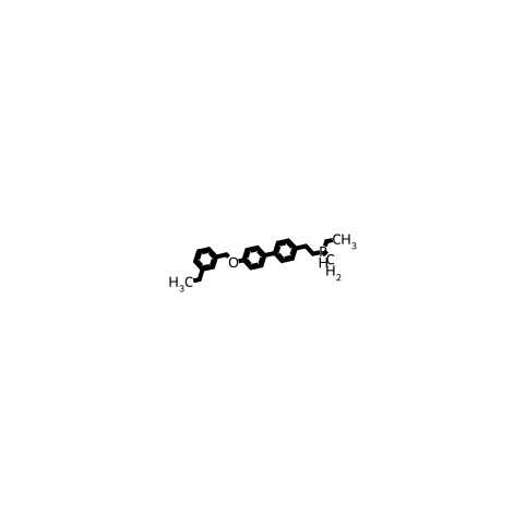 C=[PH](CC)CCc1ccc(-c2ccc(OCc3cccc(CC)c3)cc2)cc1